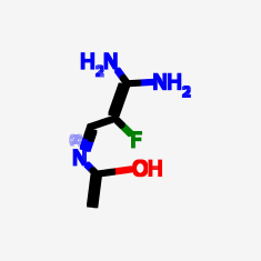 C=C(O)/N=C\C(F)=C(N)N